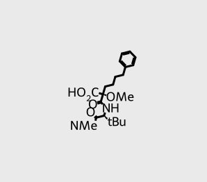 CNC(=O)[C@@H](NC(=O)[C@](CCCCc1ccccc1)(OC)C(=O)O)C(C)(C)C